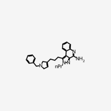 CCCn1nc2c(N)nc3ccccc3c2c1CCCC1=CCN(Cc2ccccc2)C1